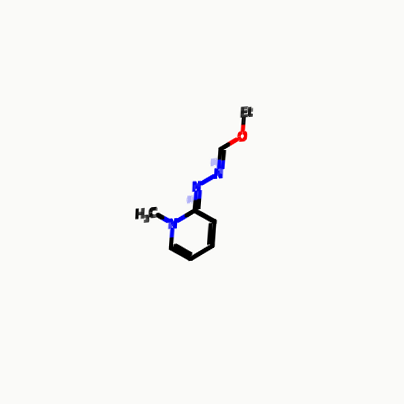 CCO/C=N/N=c1\ccccn1C